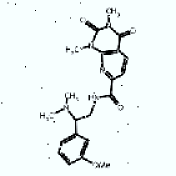 COc1cccc(C(CNC(=O)c2ccc3c(=O)n(C)c(=O)n(C)c3n2)N(C)C)c1